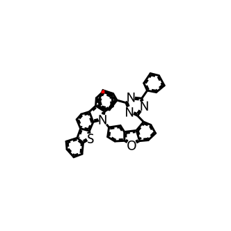 c1ccc(-c2nc(-c3ccccc3)nc(-c3cccc4oc5ccc(-n6c7ccccc7c7ccc8c9ccccc9sc8c76)cc5c34)n2)cc1